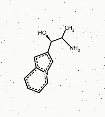 CC(N)[C@H](O)c1cc2ccccn2c1